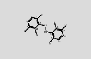 Cc1ccc(C)c(SSc2c(C)ccc(C)c2C)c1C